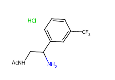 CC(=O)NCC(N)c1cccc(C(F)(F)F)c1.Cl